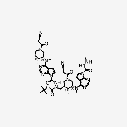 CNNC(=O)n1ccc2c(N(C)[C@H]3CN(C(=O)CC#N)CC(CN(NC(=O)n4ccc5c(N(C)[C@H]6CN(C(=O)CC#N)CC[C@H]6C)ncnc54)C(=O)OC(C)(C)C)[C@H]3C)ncnc21